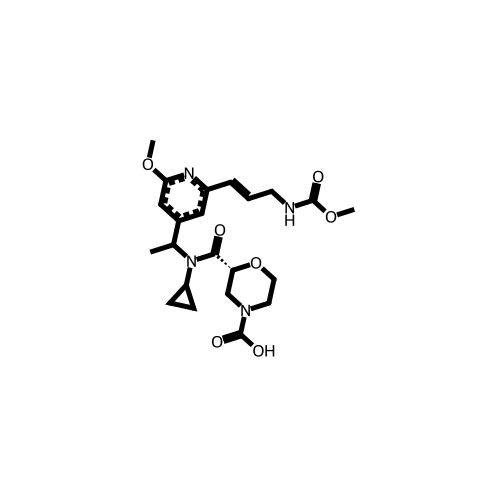 COC(=O)NCC=Cc1cc(C(C)N(C(=O)[C@H]2CN(C(=O)O)CCO2)C2CC2)cc(OC)n1